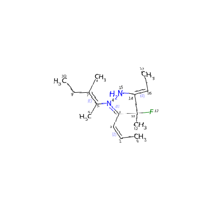 C\C=C/C(=N\C(C)=C(/C)CC)C(C)(F)/C(N)=C/C